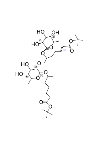 CC(CCCCC(=O)OC(C)(C)C)O[C@@H]1OC(C)[C@H](O)C(O)[C@@H]1OCC(CC/C=C/C(=O)OC(C)(C)C)O[C@@H]1OC(C)[C@@H](O)C(O)[C@@H]1O